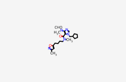 Cc1cc(CCCCN(C)C(=O)c2c(N(C)C=O)ncn2CC2CCCC2)on1